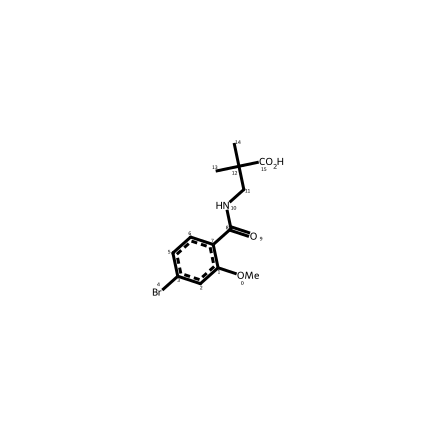 COc1cc(Br)ccc1C(=O)NCC(C)(C)C(=O)O